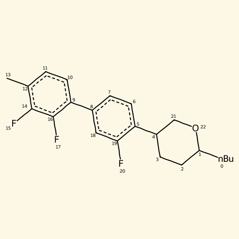 CCCCC1CCC(c2ccc(-c3ccc(C)c(F)c3F)cc2F)CO1